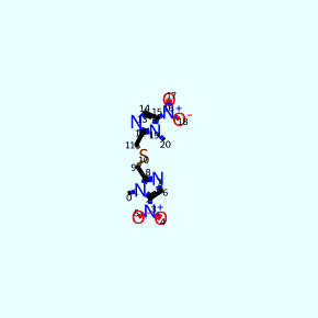 Cn1c([N+](=O)[O-])cnc1CSCc1ncc([N+](=O)[O-])n1C